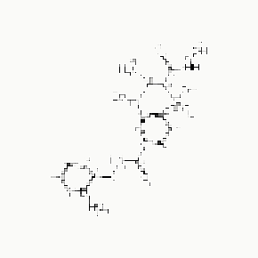 CCN1c2cc(C(=O)NCc3ccccc3[N+](=O)[O-])ccc2S(=O)(=O)C(C(=O)NO)C1C